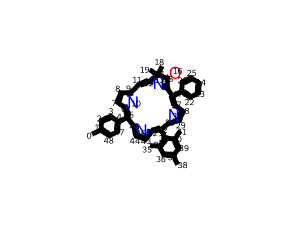 Cc1ccc(C2=C3C=CC(=N3)C=C3N=C(C(=O)C3(C)C)C(c3ccccc3)=C3C=CC(=N3)C(c3c(C)cc(C)cc3C)=C3C=CC2=N3)cc1